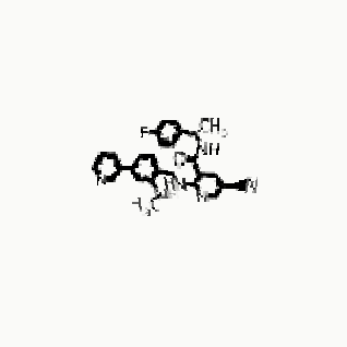 CNc1cc(-c2cccnc2)ccc1CNc1ncc(C#N)cc1C(=O)N[C@@H](C)c1ccc(F)cc1